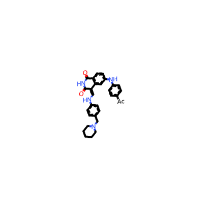 CC(=O)c1ccc(Nc2ccc3c(c2)/C(=C/Nc2ccc(CN4CCCCC4)cc2)C(=O)NC3=O)cc1